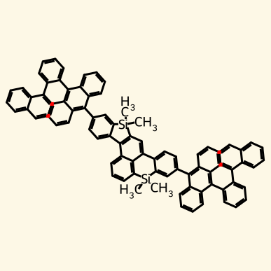 C[Si]1(C)c2cc(-c3c4ccccc4c(-c4ccccc4-c4cccc5ccccc45)c4ccccc34)ccc2-c2c1cc1c3c(cccc23)[Si](C)(C)c2cc(-c3c4ccccc4c(-c4ccccc4-c4cccc5ccccc45)c4ccccc34)ccc2-1